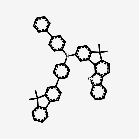 CC1(C)c2ccccc2-c2ccc(-c3ccc(N(c4ccc(-c5ccccc5)cc4)c4ccc5c(c4)-c4c(ccc6c4oc4ccccc46)C5(C)C)cc3)cc21